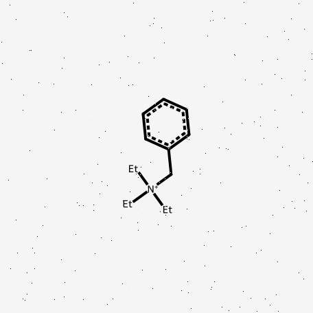 [CH2]C[N+](CC)(CC)Cc1ccccc1